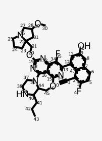 C#Cc1c(F)ccc2cc(O)cc(-c3nc4c5c(nc(OCC67CCCN6CC(OC)C7)nc5c3F)N3CCNC(CCC)C3CO4)c12